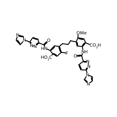 COc1cc(C(=O)O)c(NC(=O)c2ccc(-n3ccnc3)nn2)cc1CCCc1cc(NC(=O)c2ccc(-n3ccnc3)nn2)c(C(=O)O)cc1F